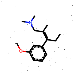 CCC(=C(C)CN(C)C)c1cccc(OC)c1